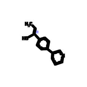 C/C=C(\O)c1ccc(-c2cccnc2)cc1